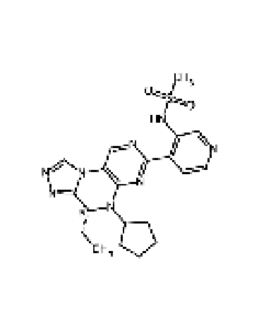 CC[C@@H]1c2nncn2-c2cnc(-c3ccncc3NS(C)(=O)=O)nc2N1C1CCCC1